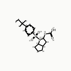 CCC(C)(C)c1ccc(S(=O)(=O)N2C(OC(=O)O)CC3CCCC32)cc1